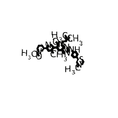 CC(=O)N1CCCC(c2cc(C)c(-c3cc4cnc(Nc5ccc(C6CN(C)CCS6)cc5)nc4n(CCN(C)C)c3=O)cn2)C1